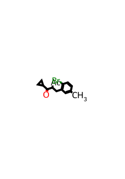 CC(=O)C(Cc1cc(C)ccc1Br)C(=O)C1CC1